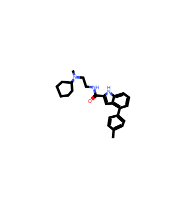 Cc1ccc(-c2cccc3[nH]c(C(=O)NCCN(C)C4CCCCC4)cc23)cc1